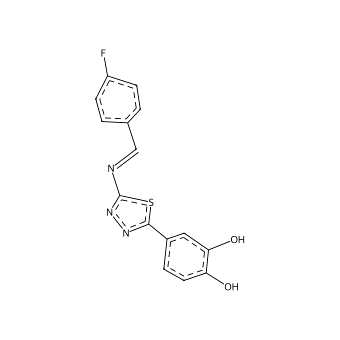 Oc1ccc(-c2nnc(N=Cc3ccc(F)cc3)s2)cc1O